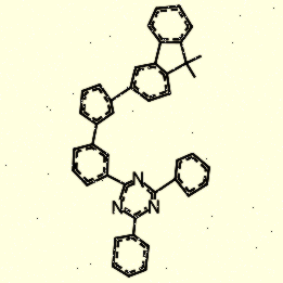 CC1(C)c2ccccc2-c2cc(-c3cccc(-c4cccc(-c5nc(-c6ccccc6)nc(-c6ccccc6)n5)c4)c3)ccc21